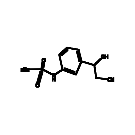 CCCCS(=O)(=O)Nc1cccc(C(O)CC#N)c1